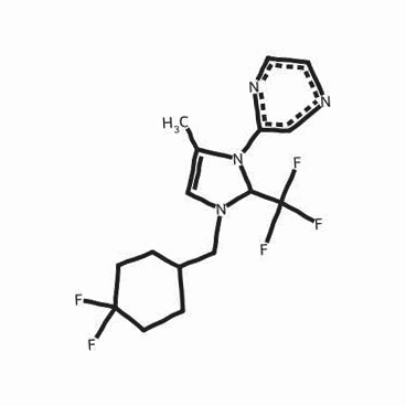 CC1=CN(CC2CCC(F)(F)CC2)C(C(F)(F)F)N1c1cnccn1